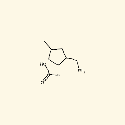 CC(=O)O.CC1CCC(CN)C1